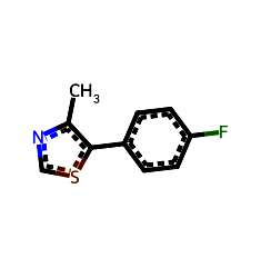 Cc1ncsc1-c1ccc(F)cc1